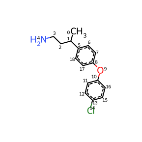 CC(CCN)c1ccc(Oc2ccc(Cl)cc2)cc1